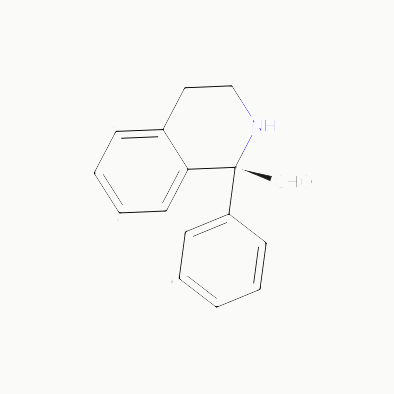 O=C[C@]1(c2ccccc2)NCCc2ccccc21